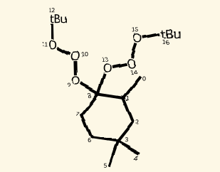 CC1CC(C)(C)CCC1(OOOC(C)(C)C)OOOC(C)(C)C